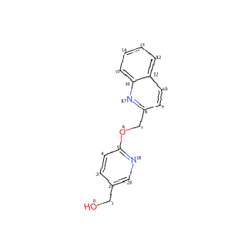 OCc1ccc(OCc2ccc3ccccc3n2)nc1